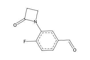 O=Cc1ccc(F)c(N2CCC2=O)c1